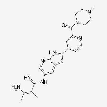 C/C(N)=C(\C)C(=N)Nc1cnc2[nH]c(-c3ccnc(C(=O)N4CCN(C)CC4)c3)cc2c1